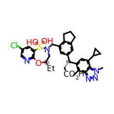 CC[C@@H]1CN(Cc2cc([C@@H](CC(=O)O)c3cc(C4CC4)c4c(nnn4C)c3C)cc3c2CCC3)S(O)(O)c2cc(Cl)cnc2O1